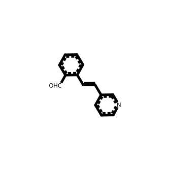 O=Cc1ccccc1C=Cc1cccnc1